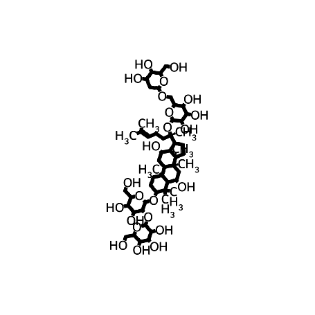 CC(C)=CCC[C@](C)(OC1OC(COC2CC(O)C(O)C(CO)O2)C(O)C(O)C1O)C1CC[C@]2(C)C1C(O)CC1[C@@]3(C)CCC(OC4OC(CO)C(O)C(O)C4OC4OC(CO)C(O)C(O)C4O)C(C)(C)C3C(O)C[C@]12C